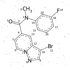 CN(C(=O)c1ccn2ncc(Br)c2c1)c1cccc(F)c1